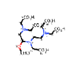 O=COC(CN(CC(=O)O)CC(=O)O)N(CCN(CC(=O)O)CC(=O)O)CC(=O)O